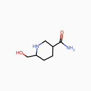 NC(=O)C1CCC(CO)NC1